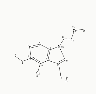 CC[n+]1ccc2c(c(I)cn2CCOC)c1Cl.[I-]